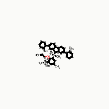 C=CCOc1c([Si](C)(C)C2c3cc(-c4ccccc4CCCC)ccc3-c3ccc(-c4ccccc4CCCC)cc32)cc(C)cc1[Si](C)(C)C(C)(C)C